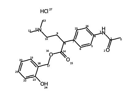 CC(=O)Nc1ccc(C(CCN(C)C)C(=O)OCc2ccccc2O)cc1.Cl